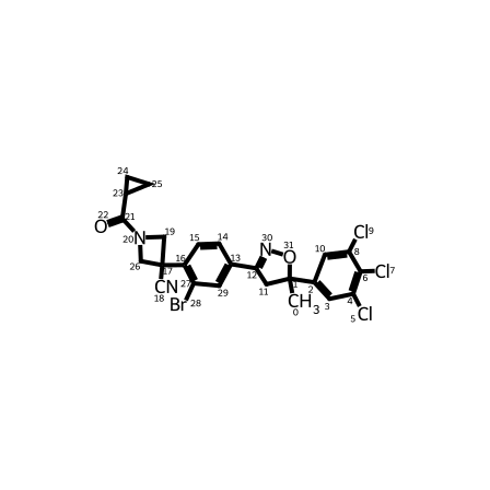 CC1(c2cc(Cl)c(Cl)c(Cl)c2)CC(c2ccc(C3(C#N)CN(C(=O)C4CC4)C3)c(Br)c2)=NO1